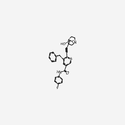 O=C(Nc1ccc(F)cc1)c1cnc(C#CC2(O)CN3CCC2CC3)c(Cc2ccccc2)c1